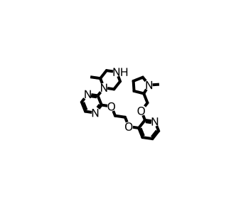 CC1CNCCN1c1nccnc1OCCOc1cccnc1OCC1CCCN1C